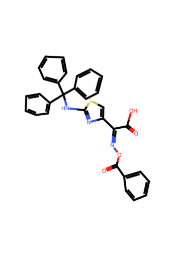 O=C(O)C(=NOC(=O)c1ccccc1)c1csc(NC(c2ccccc2)(c2ccccc2)c2ccccc2)n1